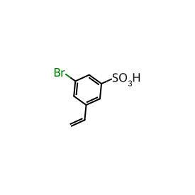 C=Cc1cc(Br)cc(S(=O)(=O)O)c1